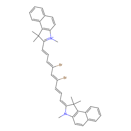 CN1/C(=C/C=C/C(Br)=C/C(Br)=C/C=C/C2=[N+](C)c3ccc4ccccc4c3C2(C)C)C(C)(C)c2c1ccc1ccccc21